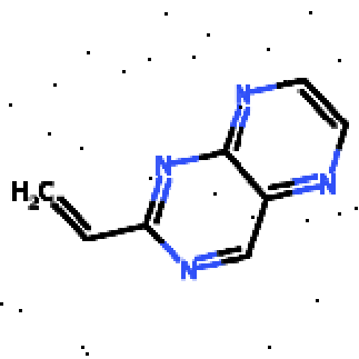 C=Cc1ncc2nccnc2n1